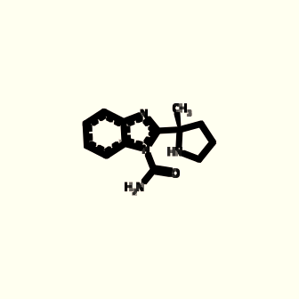 C[C@@]1(c2nc3ccccc3n2C(N)=O)CCCN1